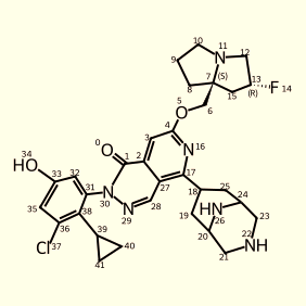 O=c1c2cc(OC[C@@]34CCCN3C[C@H](F)C4)nc(C3CC4CNCC(C3)N4)c2cnn1-c1cc(O)cc(Cl)c1C1CC1